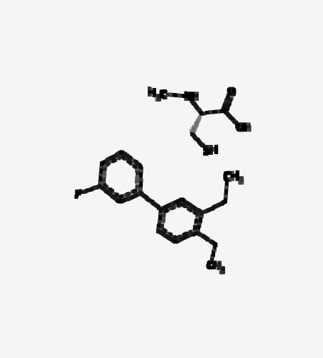 CCc1ccc(-c2cccc(F)c2)cc1CC.CN[C@@H](CS)C(=O)O